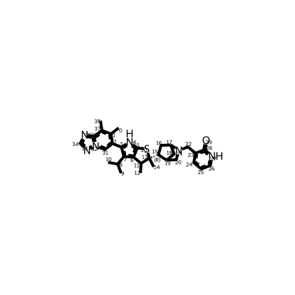 Cc1c(-c2[nH]c3c(c2C(C)C)C(C)C(C)([C@@H]2CC4CC2CN4Cc2ccc[nH]c2=O)S3)cn2ncnc2c1C